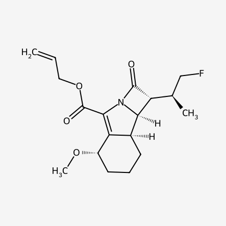 C=CCOC(=O)C1=C2[C@@H](OC)CCC[C@@H]2[C@@H]2[C@@H]([C@H](C)CF)C(=O)N12